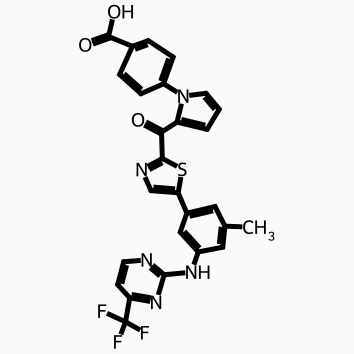 Cc1cc(Nc2nccc(C(F)(F)F)n2)cc(-c2cnc(C(=O)c3cccn3-c3ccc(C(=O)O)cc3)s2)c1